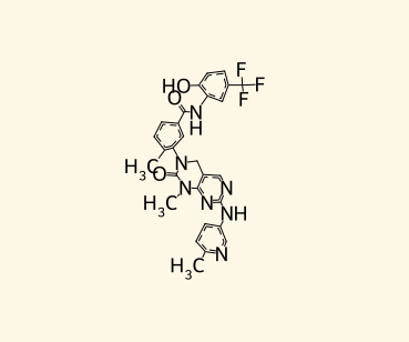 Cc1ccc(Nc2ncc3c(n2)N(C)C(=O)N(c2cc(C(=O)Nc4cc(C(F)(F)F)ccc4O)ccc2C)C3)cn1